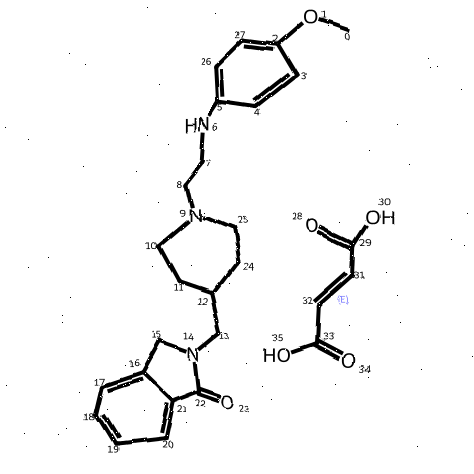 COc1ccc(NCCN2CCC(CN3Cc4ccccc4C3=O)CC2)cc1.O=C(O)/C=C/C(=O)O